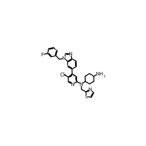 NC1CCC(N(Cc2nccs2)c2cc(-c3ccc4ncn(Cc5cccc(F)c5)c4c3)c(Cl)cn2)CC1